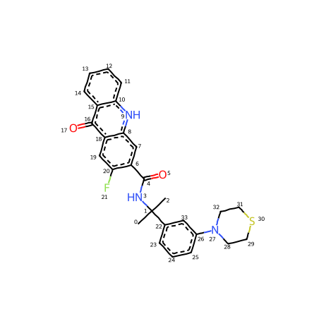 CC(C)(NC(=O)c1cc2[nH]c3ccccc3c(=O)c2cc1F)c1cccc(N2CCSCC2)c1